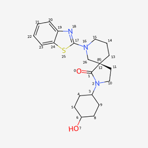 O=C1N(C2CCC(O)CC2)CC[C@@]12CCCN(c1nc3ccccc3s1)C2